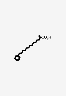 C=C(CCCCCCCCCCCCc1ccccc1)C(=O)O